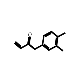 C=CC(=O)Cc1ccc(C)c(C)c1